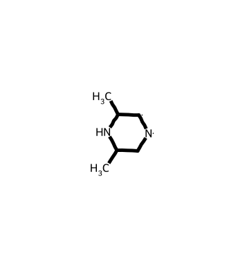 CC1[CH][N]CC(C)N1